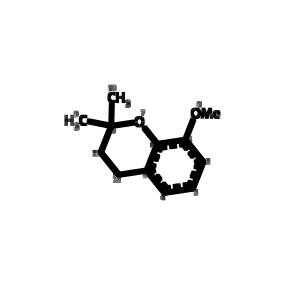 COc1cccc2c1OC(C)(C)C[C]2